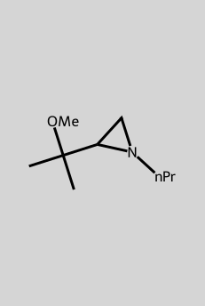 CCCN1CC1C(C)(C)OC